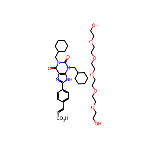 O=C(O)/C=C/c1ccc(-c2nc3c(=O)n(CC4CCCCC4)c(=O)n(CC4CCCCC4)c3[nH]2)cc1.OCCOCCOCCOCCOCCOCCO